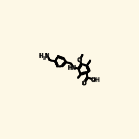 COc1c(C)cc(C(=O)O)c(C)c1NCc1ccc(CN)cc1